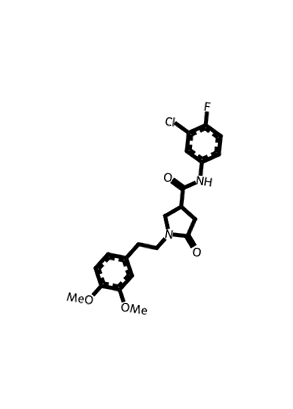 COc1ccc(CCN2CC(C(=O)Nc3ccc(F)c(Cl)c3)CC2=O)cc1OC